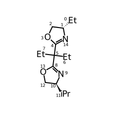 CC[C@H]1COC(C(CC)(CC)C2=N[C@@H](C(C)C)CO2)=N1